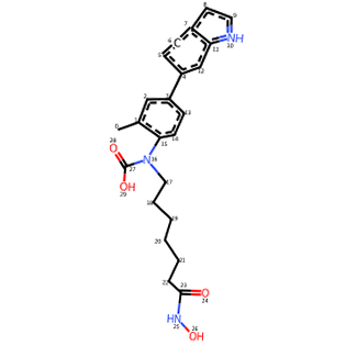 Cc1cc(-c2ccc3cc[nH]c3c2)ccc1N(CCCCCCC(=O)NO)C(=O)O